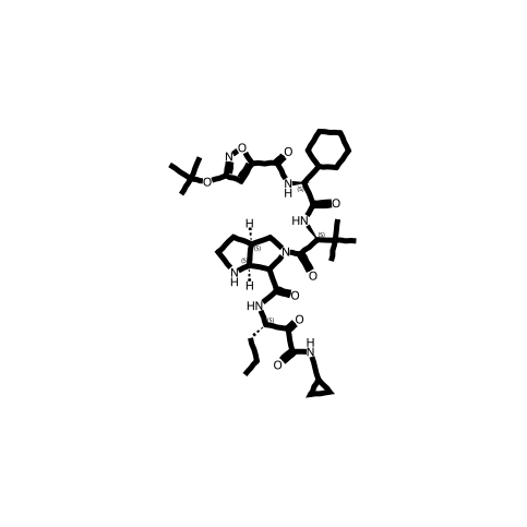 CCC[C@H](NC(=O)C1[C@H]2NCC[C@H]2CN1C(=O)[C@@H](NC(=O)[C@@H](NC(=O)c1cc(OC(C)(C)C)no1)C1CCCCC1)C(C)(C)C)C(=O)C(=O)NC1CC1